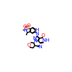 CC1c2cc(Nc3nn(C4COCCC4C#N)c4cc[nH]c(=O)c34)ccc2S(=O)(=O)N1C